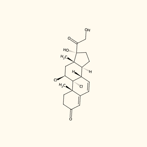 C[C@]12CCC(=O)C=C1C=C[C@H]1[C@@H]3CC[C@](O)(C(=O)CO)[C@@]3(C)C[C@H](Cl)[C@@]12Cl